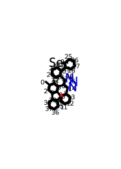 Cc1cc2c(c(-c3c(-c4ccccc4)nnnc3-c3cccc4[se]c5ccccc5c34)c1C)Cc1ccccc1-2